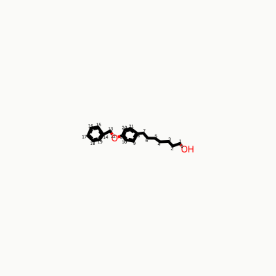 OCCCCCCCc1ccc(OCc2ccccc2)cc1